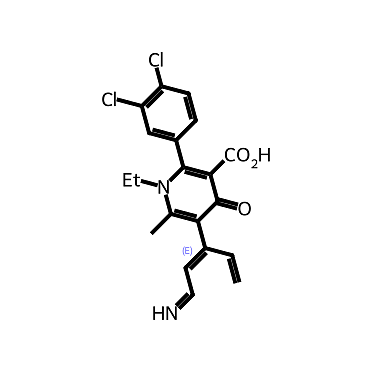 C=C/C(=C\C=N)c1c(C)n(CC)c(-c2ccc(Cl)c(Cl)c2)c(C(=O)O)c1=O